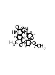 CCOC1CCN(C(=O)c2cc3c(cc2C)[nH]c(=O)c2cnn(C4CCOCC4)c23)CC1